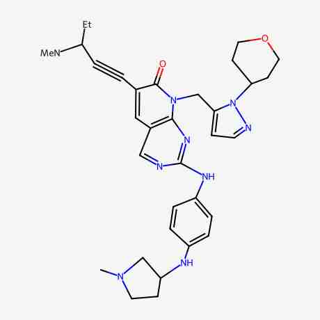 CCC(C#Cc1cc2cnc(Nc3ccc(NC4CCN(C)C4)cc3)nc2n(Cc2ccnn2C2CCOCC2)c1=O)NC